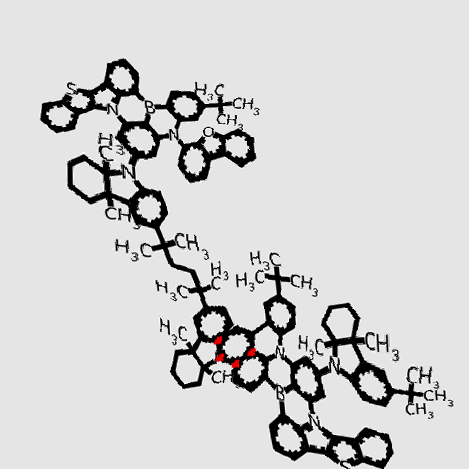 CC(C)(C)c1ccc(N2c3cc(N4c5ccc(C(C)(C)CCC(C)(C)c6ccc7c(c6)C6(C)CCCCC6(C)N7c6cc7c8c(c6)-n6c9c(cccc9c9sc%10ccccc%10c96)B8c6ccc(C(C)(C)C)cc6N7c6cccc7c6oc6ccccc67)cc5C5(C)CCCCC45C)ccc3B3c4c2cc(N2c5ccc(C(C)(C)C)cc5C5(C)CCCCC25C)cc4-n2c4c3cccc4c3sc4ccccc4c32)c(-c2ccccc2)c1